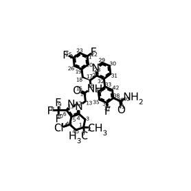 CC1(C)Cc2c(c(C(F)(F)F)nn2CC(=O)N[C@@H](Cc2cc(F)cc(F)c2)c2ncccc2-c2ccc(F)c(C(N)=O)c2)C(Cl)C1